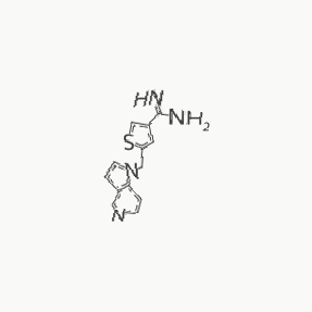 N=C(N)c1csc(Cn2ccc3cnccc32)c1